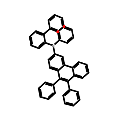 c1ccc(-c2ccccc2N(c2ccccc2)c2ccc3c(-c4ccccc4)c(-c4ccccc4)c4ccccc4c3c2)cc1